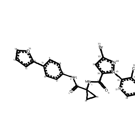 O=C(NC1(C(=O)Nc2ccc(-c3ccco3)cc2)CC1)c1cc(Br)nn1-c1ncccc1Cl